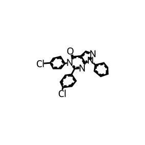 O=c1c2cnn(-c3ccccc3)c2nc(-c2ccc(Cl)cc2)n1-c1ccc(Cl)cc1